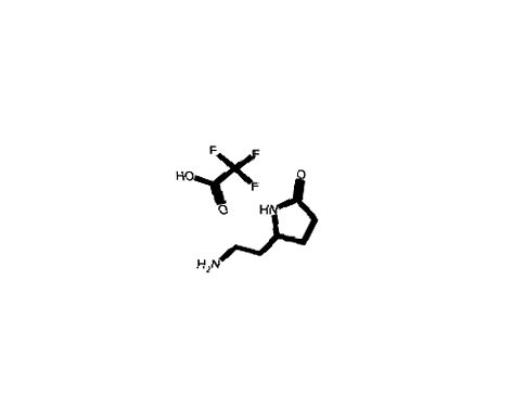 NCCC1CCC(=O)N1.O=C(O)C(F)(F)F